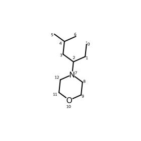 [CH2]CC(CC(C)C)N1CCOCC1